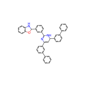 C1=C(c2cccc(-c3ccccc3)c2)N=C(c2cccc(C3Nc4ccccc4O3)c2)NC1c1cccc(-c2ccccc2)c1